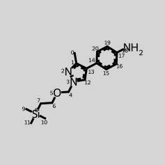 Cc1nn(COCC[Si](C)(C)C)cc1-c1ccc(N)cc1